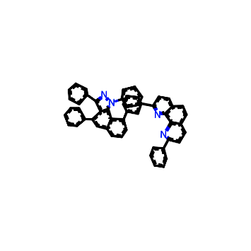 c1ccc(-c2ccc3ccc4ccc(-c5cccc(-c6cccc7cc(-c8ccccc8)c8c(-c9ccccc9)nn(-c9ccccc9)c8c67)c5)nc4c3n2)cc1